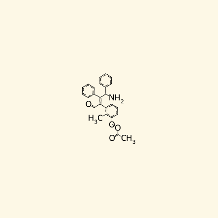 CC(=O)OOc1cccc(C(C=O)=C(c2ccccc2)C(N)c2ccccc2)c1C